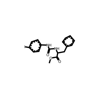 COC(=O)C(Cc1ccccc1)NC(=O)Nc1ccc(I)cc1